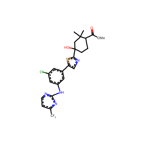 COC(=O)C1CCC(O)(c2ncc(-c3cc(Cl)cc(Nc4nccc(C(F)(F)F)n4)c3)s2)CC1(C)C